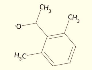 Cc1cccc(C)c1C(C)[O]